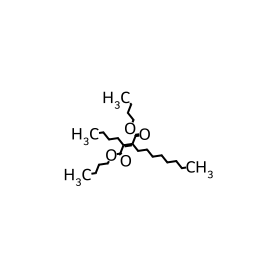 CCCCCCCCC(C(=O)OCCCC)=C(CCCC)C(=O)OCCCC